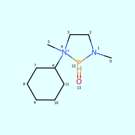 CN1CC[N+](C)(C2CCCCC2)[PH]1=O